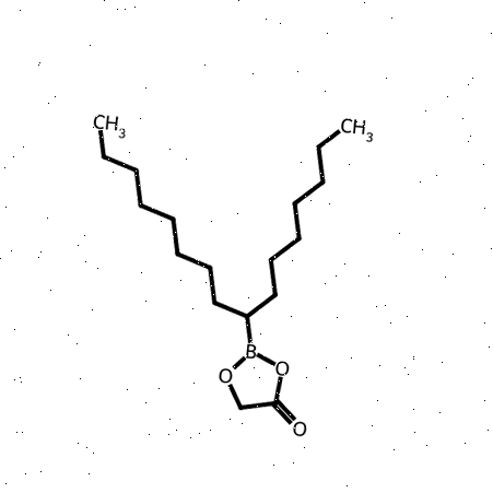 CCCCCCCCC(CCCCCCC)B1OCC(=O)O1